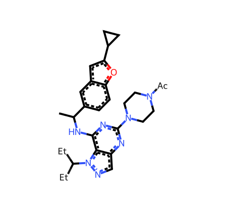 CCC(CC)n1ncc2nc(N3CCN(C(C)=O)CC3)nc(NC(C)c3ccc4oc(C5CC5)cc4c3)c21